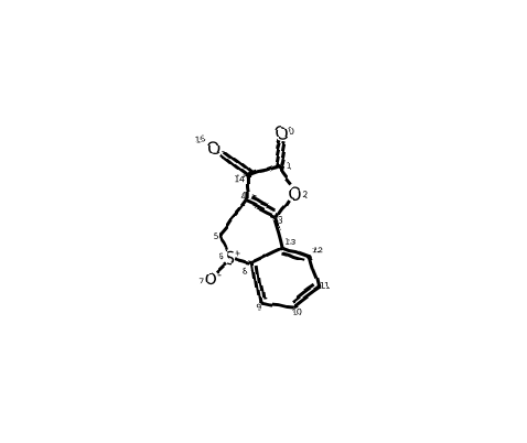 O=C1OC2=C(C[S+]([O-])c3ccccc32)C1=O